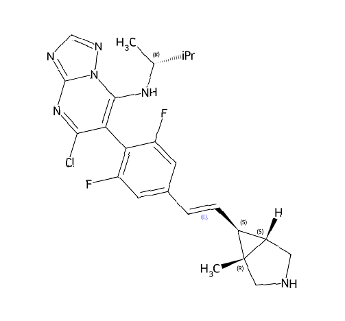 CC(C)[C@@H](C)Nc1c(-c2c(F)cc(/C=C/[C@H]3[C@@H]4CNC[C@]34C)cc2F)c(Cl)nc2ncnn12